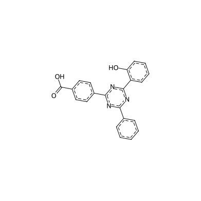 O=C(O)c1ccc(-c2nc(-c3ccccc3)nc(-c3ccccc3O)n2)cc1